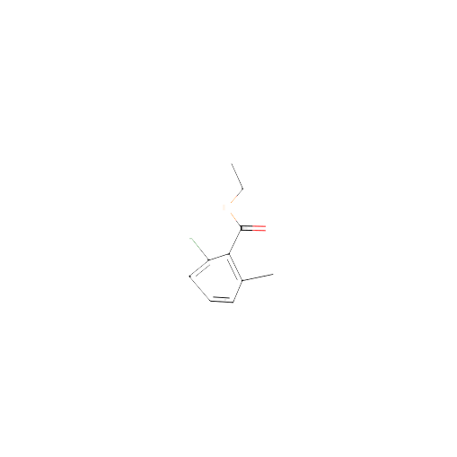 Cc1cccc(Cl)c1C(=O)PCC(C)C